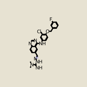 CN(C)C(=N)N/N=C/c1ccc2ncnc(Nc3ccc(OCc4cccc(F)c4)c(Cl)c3)c2c1